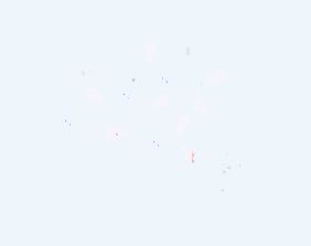 CC(C)C[C@H](C(=O)NC(C(=O)OCc1ccccc1)C(C)C)N(C(=O)C(O)C1CCCN1)C(=O)C1CCCN1C(=O)OCc1ccccc1